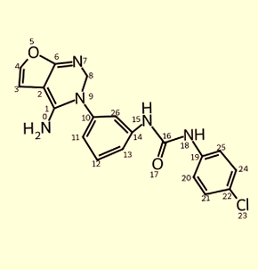 NC1=c2ccoc2=NCN1c1cccc(NC(=O)Nc2ccc(Cl)cc2)c1